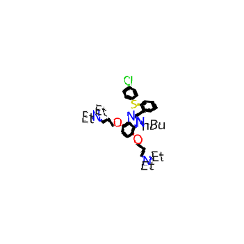 CCCCn1c(-c2ccccc2Sc2ccc(Cl)cc2)nc2c(OCCCN(CC)CC)ccc(OCCCN(CC)CC)c21